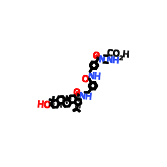 C=C(C)[C@@H]1CC[C@]2(C(=O)NCCc3cccc(C(=O)NCc4ccc(C(=O)N5CCNC(C(=O)O)C5)cc4)c3)CC[C@]3(C)C(CCC4[C@@]5(C)CC[C@H](O)C(C)(C)C5CC[C@]43C)C12